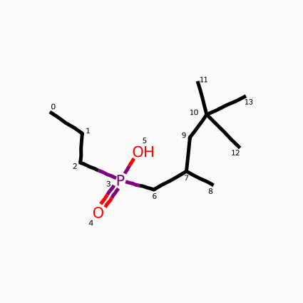 CCCP(=O)(O)CC(C)CC(C)(C)C